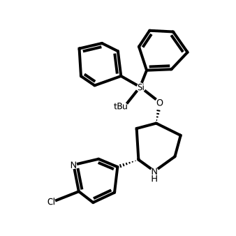 CC(C)(C)[Si](O[C@@H]1CCN[C@H](c2ccc(Cl)nc2)C1)(c1ccccc1)c1ccccc1